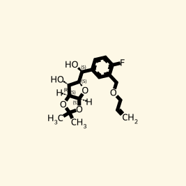 C=CCOCc1cc([C@H](O)[C@@H]2O[C@H]3OC(C)(C)O[C@H]3[C@@H]2O)ccc1F